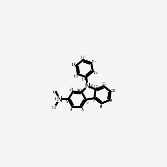 CN(I)c1ccc2c3ccccc3n(-c3ccccc3)c2c1